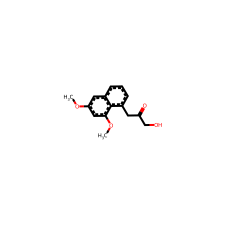 COc1cc(OC)c2c(CC(=O)CO)cccc2c1